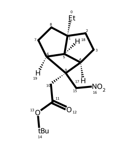 CC[C@]12CC[C@@H]3[C@H]1[C@H](CC2)[C@]3(CC(=O)OC(C)(C)C)C[N+](=O)[O-]